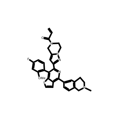 C=CC(=O)N1CCn2nc(-c3nc(-c4ccc5c(c4)CCN(C)C5)c4ccsc4c3-c3ccc(F)cc3OC)cc2C1